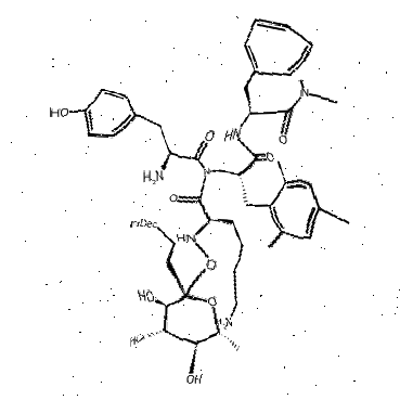 CCCCCCCCCCCC[C@@]1(ON[C@H](CCCCN)C(=O)N(C(=O)[C@@H](N)Cc2ccc(O)cc2)[C@@H](Cc2c(C)cc(C)cc2C)C(=O)N[C@@H](Cc2ccccc2)C(=O)N(C)C)O[C@H](C)[C@@H](O)[C@H](O)[C@H]1O